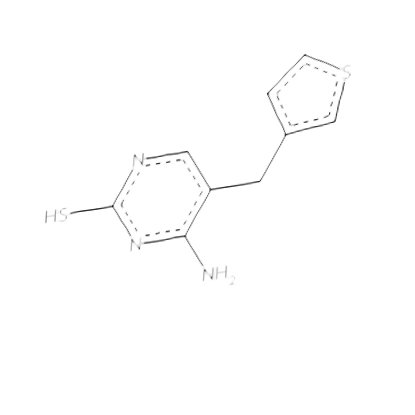 Nc1nc(S)ncc1Cc1ccsc1